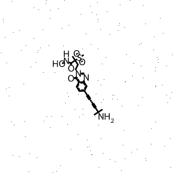 CC(C)(N)C#CC#Cc1ccc2c(=O)n(CCC(C)(C(=O)NO)S(C)(=O)=O)cnc2c1